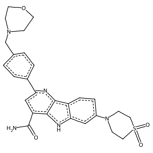 NC(=O)c1cc(-c2ccc(CN3CCOCC3)cc2)nc2c1[nH]c1cc(N3CCS(=O)(=O)CC3)ccc12